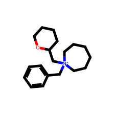 c1ccc(C[N+]2(CC3CCCCO3)CCCCCC2)cc1